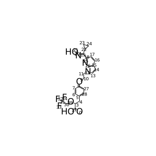 O=C(O)C(Cc1ccc(OCCn2ccc3ccc(C(=NO)C4CC4)nc32)cc1)OCC(F)(F)F